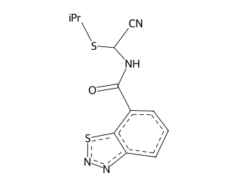 CC(C)SC(C#N)NC(=O)c1cccc2nnsc12